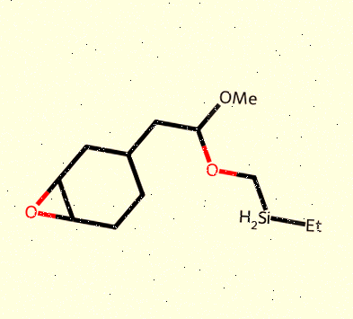 CC[SiH2]COC(CC1CCC2OC2C1)OC